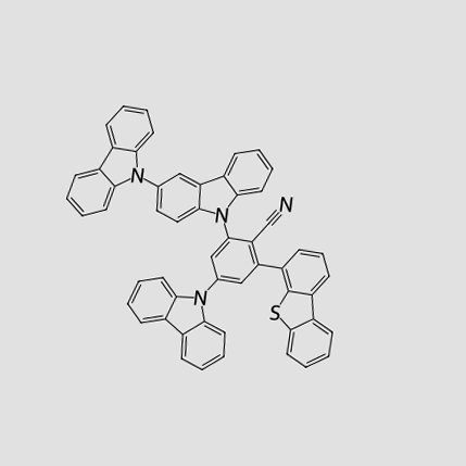 N#Cc1c(-c2cccc3c2sc2ccccc23)cc(-n2c3ccccc3c3ccccc32)cc1-n1c2ccccc2c2cc(-n3c4ccccc4c4ccccc43)ccc21